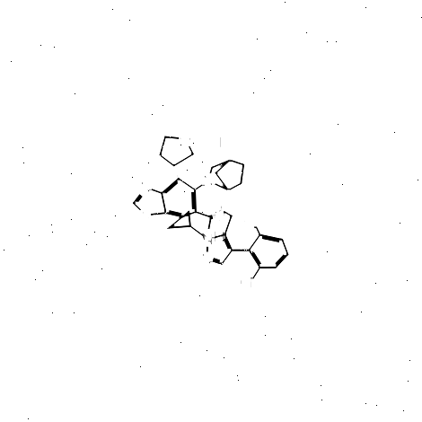 O=C(O)c1cc2scnc2c([C@@H]2CCOC2)c1N1C[C@H]2CC[C@]1(OCc1c(-c3c(Cl)cccc3Cl)cnn1C1CC1)C2